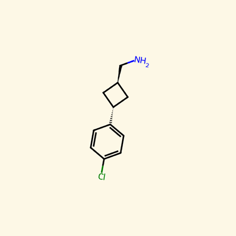 NC[C@H]1C[C@H](c2ccc(Cl)cc2)C1